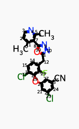 Cc1ccnc(C)c1-c1nnc(Cc2ccc(Cl)c(Oc3cc(Cl)cc(C#N)c3)c2F)o1